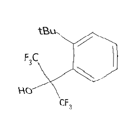 CC(C)(C)c1ccccc1C(O)(C(F)(F)F)C(F)(F)F